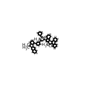 CC1(C)c2cc3ccccc3cc2-c2c(-c3cccc(/C=C/C(NC(N)c4ccccc4)c4cc5c(c6ccccc46)-c4c(c6ccccc6c6ccccc46)C5(C)C)c3)cccc21